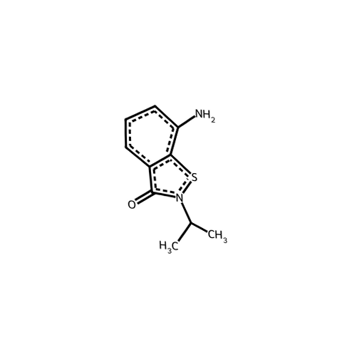 CC(C)n1sc2c(N)cccc2c1=O